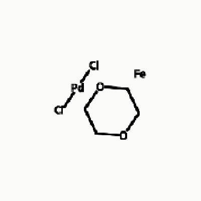 C1COCCO1.[Cl][Pd][Cl].[Fe]